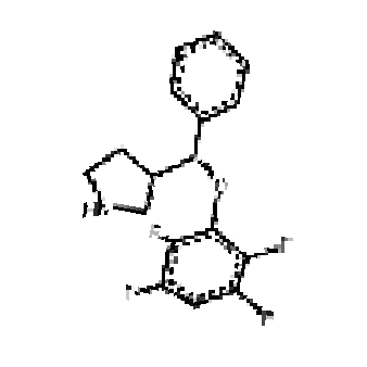 Fc1cc(F)c(F)c(O[C@H](c2ccccc2)C2CCNC2)c1F